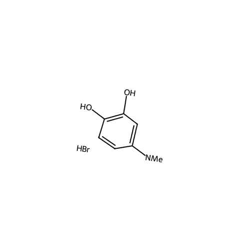 Br.CNc1ccc(O)c(O)c1